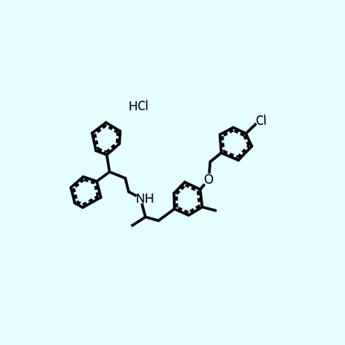 Cc1cc(CC(C)NCCC(c2ccccc2)c2ccccc2)ccc1OCc1ccc(Cl)cc1.Cl